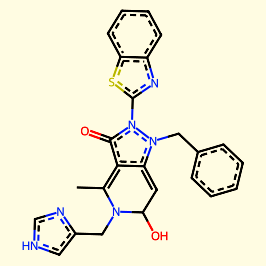 CC1=c2c(n(Cc3ccccc3)n(-c3nc4ccccc4s3)c2=O)=CC(O)N1Cc1c[nH]cn1